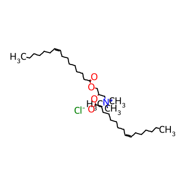 CCCCCC/C=C\CCCCCCCC(=O)OCC(C[N+](C)(C)C)OC(=O)CCCCCCC/C=C\CCCCCC.[Cl-]